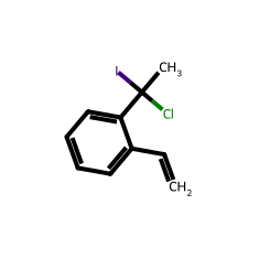 C=Cc1ccccc1C(C)(Cl)I